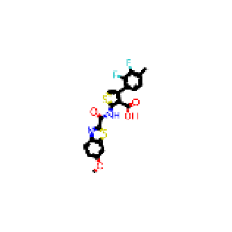 COc1ccc2nc(C(=O)Nc3scc(-c4ccc(C)c(F)c4F)c3C(=O)O)sc2c1